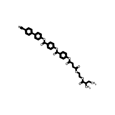 CCC(C)C(=O)OCCOC(=O)CCC(=O)Oc1ccc(C(=O)Oc2ccc(C(=O)Oc3ccc(-c4ccc(C#N)cc4)cc3)cc2)cc1